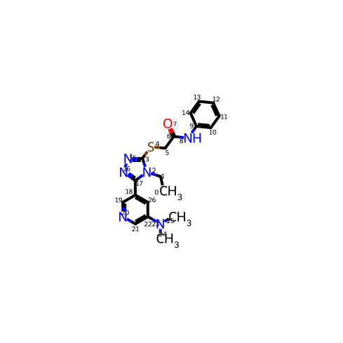 CCn1c(SCC(=O)Nc2ccccc2)nnc1-c1cncc(N(C)C)c1